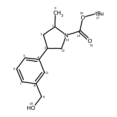 CC1CC(c2cccc(CO)c2)CN1C(=O)OC(C)(C)C